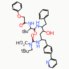 CC(C)(C)CN(C(=O)O)C(=O)NC(Cc1ccc(-c2ccccn2)cc1)CC(O)C(Cc1ccccc1)NC(=O)C(NC(=O)COc1ccccc1)C(C)(C)C